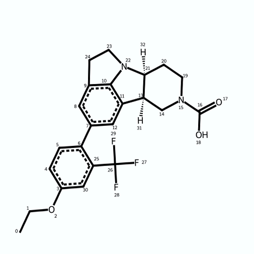 CCOc1ccc(-c2cc3c4c(c2)[C@@H]2CN(C(=O)O)CC[C@@H]2N4CC3)c(C(F)(F)F)c1